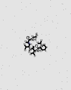 C=C(C(NC(=O)C1CCCCN1C(C)C)C(C)C)N(C)C(/C=C(\C)C(=O)NCCF)C(C)C